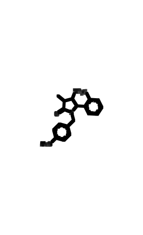 COc1ccc(CN2C(=O)C(C)C([N+](=O)[O-])C2c2ccccc2Cl)cc1